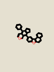 C1=Cc2c(c(-c3ccc4oc5ccc6ccccc6c5c4c3)c3c(c2-c2ccccc2)C=COC3)C1